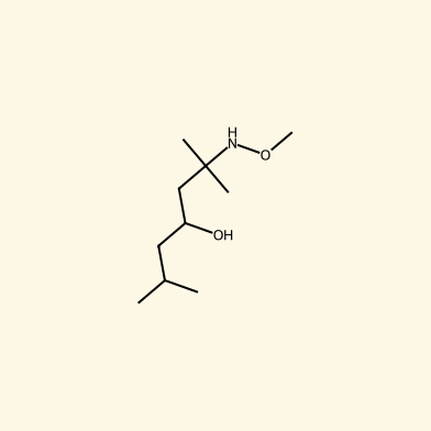 CONC(C)(C)CC(O)CC(C)C